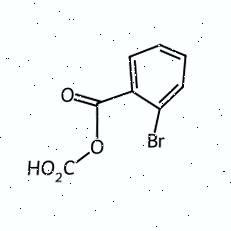 O=C(O)OC(=O)c1ccccc1Br